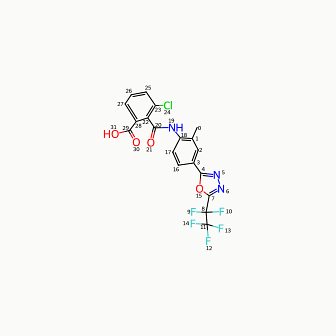 Cc1cc(-c2nnc(C(F)(F)C(F)(F)F)o2)ccc1NC(=O)c1c(Cl)cccc1C(=O)O